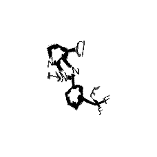 FC(F)(F)c1cccc(-c2nc3c(Cl)ccnc3[nH]2)c1